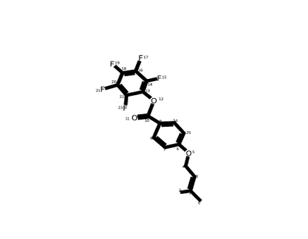 CC(C)=CCOc1ccc(C(=O)Oc2c(F)c(F)c(F)c(F)c2F)cc1